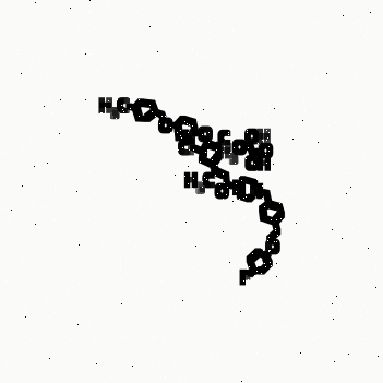 C/C(=C\C(=O)N1CCN(Cc2ccc(CCOc3ccc(F)cc3)cc2)CC1)c1cc(C)c(Oc2ccc(OCc3ccc(C)cc3)cn2)c(Cl)c1.O=C(O)C(=O)O